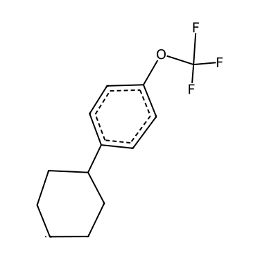 FC(F)(F)Oc1ccc(C2CC[CH]CC2)cc1